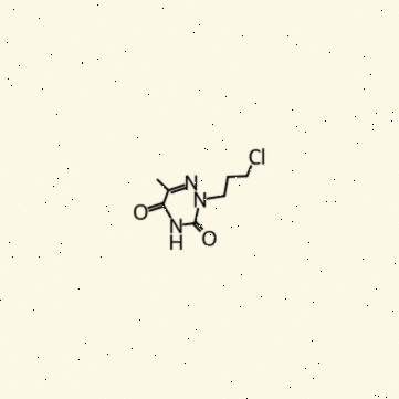 Cc1nn(CCCCl)c(=O)[nH]c1=O